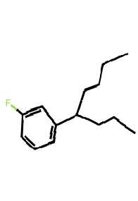 CCCCC(CCC)c1cccc(F)c1